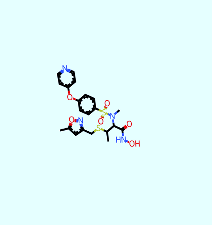 Cc1cc(CSC(C)C(C(=O)NO)N(C)S(=O)(=O)c2ccc(Oc3ccncc3)cc2)no1